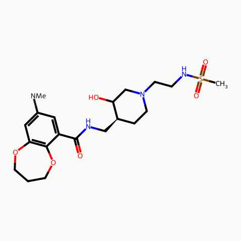 CNc1cc2c(c(C(=O)NC[C@@H]3CCN(CCNS(C)(=O)=O)CC3O)c1)OCCCO2